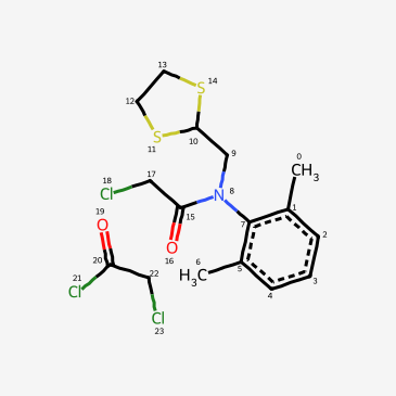 Cc1cccc(C)c1N(CC1SCCS1)C(=O)CCl.O=C(Cl)CCl